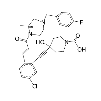 C[C@@H]1CN(Cc2ccc(F)cc2)CCN1C(=O)C=Cc1ccc(Cl)cc1C#CC1(O)CCN(C(=O)O)CC1